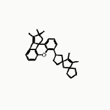 CC1=C2c3cccc4c3C2(CC1(C)C)c1cccc(C2CCC3(C2)CC2(CCCC2)C(C)=C3C)c1O4